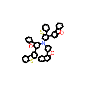 c1ccc2c(c1)ccc1oc3ccc(N(c4cc(-c5ccc6oc7ccccc7c6c5)c5c(c4)sc4ccccc45)c4cc(-c5ccc6sc7ccccc7c6c5)c5oc6ccccc6c5c4)cc3c12